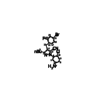 CCCCc1nn(-c2cc(N)ccc2Cl)c(C#N)c1Cc1ccc(Br)cc1F